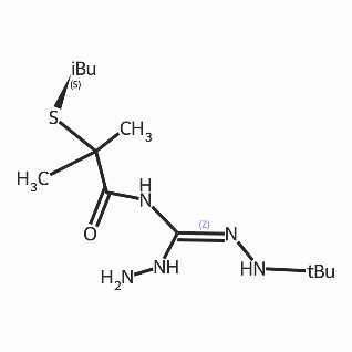 CC[C@H](C)SC(C)(C)C(=O)N/C(=N/NC(C)(C)C)NN